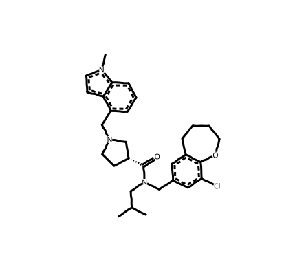 CC(C)CN(Cc1cc(Cl)c2c(c1)CCCCO2)C(=O)[C@@H]1CCN(Cc2cccc3c2ccn3C)C1